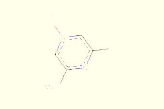 COc1c[n+]([O-])cc(Cl)n1